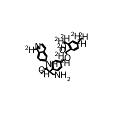 [2H]c1nccc2cc(NC(=O)C([2H])(CN)c3ccc(C([2H])([2H])OC(=O)c4ccc(C([2H])([2H])[2H])cc4C([2H])([2H])[2H])cc3)ccc12